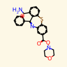 NC(=O)c1cccc2c1C(c1ccccc1)=Nc1cc(C(=O)ON3CCOCC3)ccc1S2